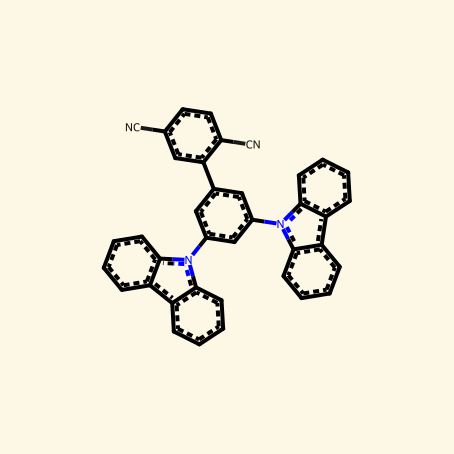 N#Cc1ccc(C#N)c(-c2cc(-n3c4ccccc4c4ccccc43)cc(-n3c4ccccc4c4ccccc43)c2)c1